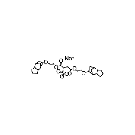 O=C(CC(C(=O)OCCOC1CC2CC1C1CCCC21)S(=O)(=O)[O-])OCCOC1CC2CC1C1CCCC21.[Na+]